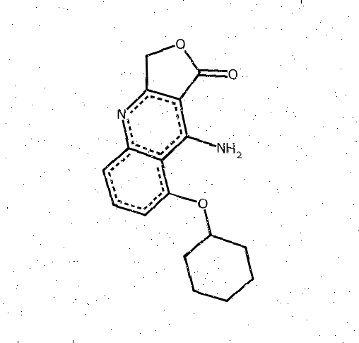 Nc1c2c(nc3cccc(OC4CCCCC4)c13)COC2=O